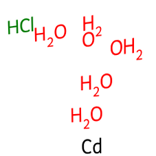 Cl.O.O.O.O.O.[Cd]